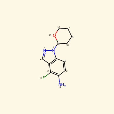 Nc1ccc2c(cnn2C2CCCCO2)c1F